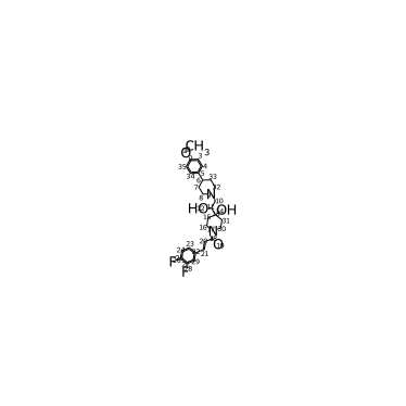 COc1ccc(C2CCN(CC(O)C3(O)CCN(C(=O)/C=C/c4ccc(F)c(F)c4)CC3)CC2)cc1